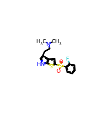 CN(C)CCc1c[nH]c2sc(S(=O)(=O)c3ccccc3F)cc12